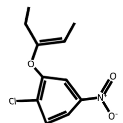 CC=C(CC)Oc1cc([N+](=O)[O-])ccc1Cl